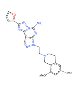 COc1cc2c(c(OC)c1)CN(CCn1ncc3c1nc(N)n1nc(-c4ccco4)nc31)CC2